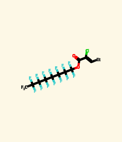 CCC=C(Cl)C(=O)OC(F)(F)C(F)(F)C(F)(F)C(F)(F)C(F)(F)C(F)(F)C(F)(F)C(F)(F)F